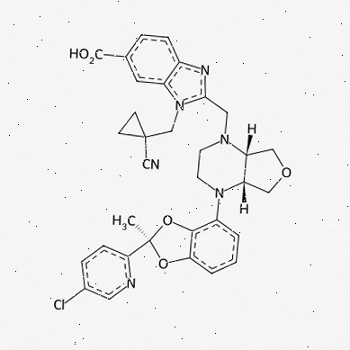 C[C@@]1(c2ccc(Cl)cn2)Oc2cccc(N3CCN(Cc4nc5ccc(C(=O)O)cc5n4CC4(C#N)CC4)[C@@H]4COC[C@@H]43)c2O1